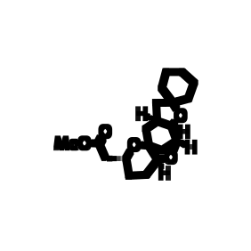 COC(=O)C[C@H]1CC[C@@H]2O[C@@H]3CC2(C[C@H]2CC4(CCCCC4)O[C@H]23)O1